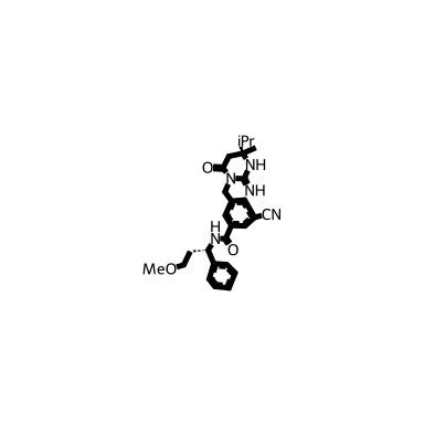 COCC[C@H](NC(=O)c1cc(C#N)cc(CN2C(=N)N[C@](C)(C(C)C)CC2=O)c1)c1ccccc1